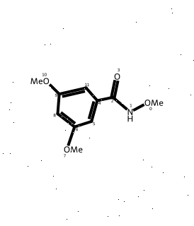 CONC(=O)c1cc(OC)cc(OC)c1